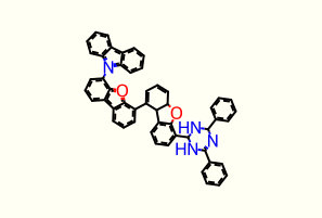 C1=CC2Oc3c(C4NC(c5ccccc5)=NC(c5ccccc5)N4)cccc3C2C(c2cccc3c2oc2c(-n4c5ccccc5c5ccccc54)cccc23)=C1